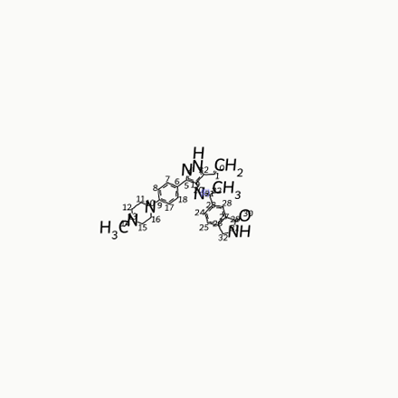 C=Cc1[nH]nc(-c2ccc(N3CCN(C)CC3)cc2)c1/N=C(\C)c1ccc2c(c1)C(=O)NC2